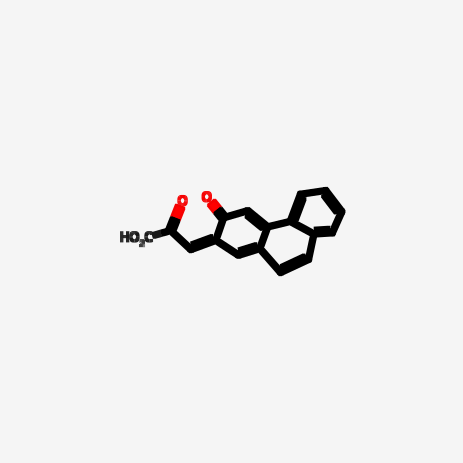 O=C(O)C(=O)/C=C1/C=c2ccc3ccccc3c2=CC1=O